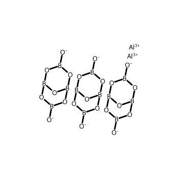 [Al+3].[Al+3].[O-]B1OB2OB([O-])OB(O1)O2.[O-]B1OB2OB([O-])OB(O1)O2.[O-]B1OB2OB([O-])OB(O1)O2